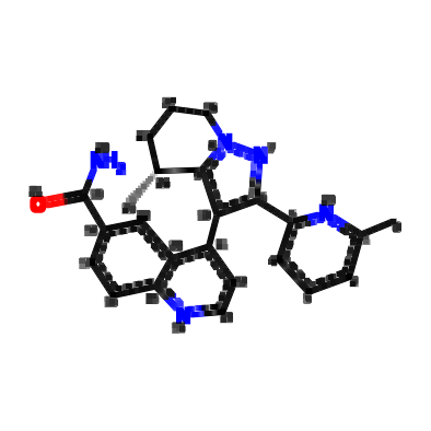 Cc1cccc(-c2nn3c(c2-c2ccnc4ccc(C(N)=O)cc24)[C@H](C)CCC3)n1